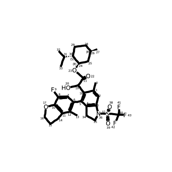 Cc1cc2c(c(-c3cc(F)c4c(c3C)CCCO4)c1C(O)C(=O)O[C@@H]1C[C@H](C)CC[C@H]1C(C)C)CCN2S(=O)(=O)C(F)(F)F